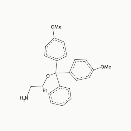 CCC(CN)OC(c1ccccc1)(c1ccc(OC)cc1)c1ccc(OC)cc1